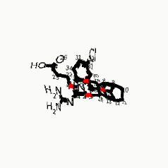 NC(N)=Nc1nc(C2C3=C4CCC(=C2CC3)C4N2CCN(CCCC(=O)O)CC2)c2cc(Cl)ccc2n1